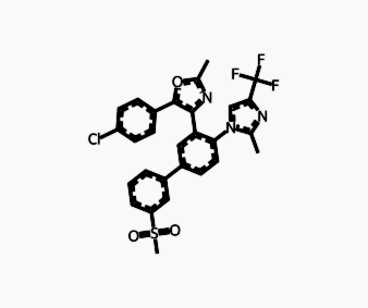 Cc1nc(-c2cc(-c3cccc(S(C)(=O)=O)c3)ccc2-n2cc(C(F)(F)F)nc2C)c(-c2ccc(Cl)cc2)o1